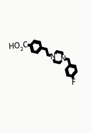 O=C(O)c1ccc(CCN2CCN(Cc3ccc(F)cc3)CC2)cc1